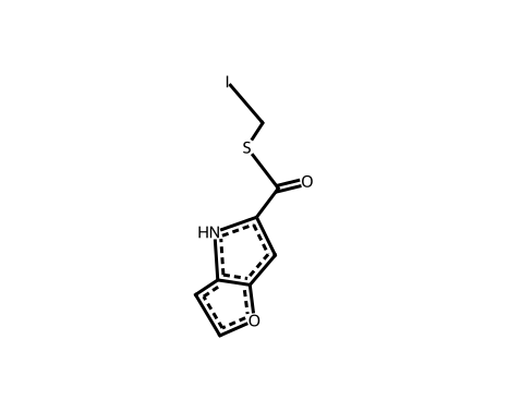 O=C(SCI)c1cc2occc2[nH]1